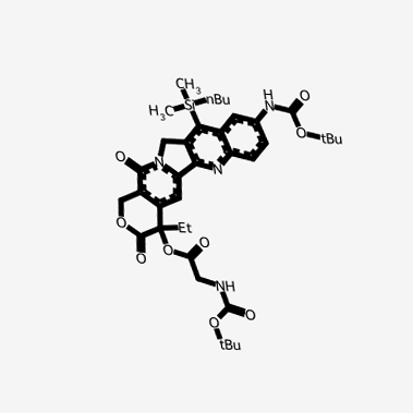 CCCC[Si](C)(C)c1c2c(nc3ccc(NC(=O)OC(C)(C)C)cc13)-c1cc3c(c(=O)n1C2)COC(=O)C3(CC)OC(=O)CNC(=O)OC(C)(C)C